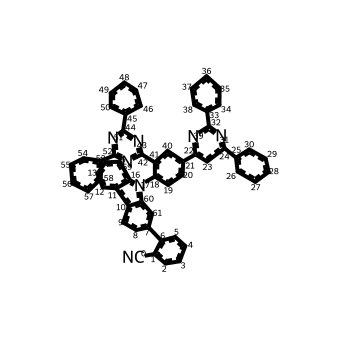 N#Cc1ccccc1-c1ccc2c3ccccc3n(-c3ccc(-c4cc(-c5ccccc5)nc(-c5ccccc5)n4)cc3-c3nc(-c4ccccc4)nc(-c4ccccc4)n3)c2c1